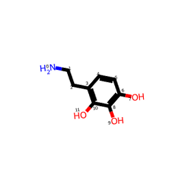 NCCc1ccc(O)c(O)c1O